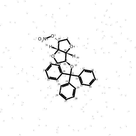 O=[N+]([O-])O[C@@H]1CO[C@H]2[C@@H]1OC[C@@H]2OC(c1ccccc1)(c1ccccc1)c1ccccc1